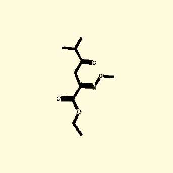 CCOC(=O)C(CC(=O)C(C)C)=NOC